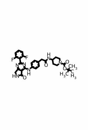 CC(C)(C)OC(=O)N1CCC(NC(=O)Cc2ccc(Nc3nc(-c4c(F)cccc4F)nc4c3C(=O)NC4)cc2)CC1